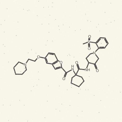 CS(=O)(=O)c1ccccc1N1CCC(NC(=O)C2(NC(=O)c3cc4cc(OCCN5CCCCC5)ccc4o3)CCCCC2)C(=O)C1